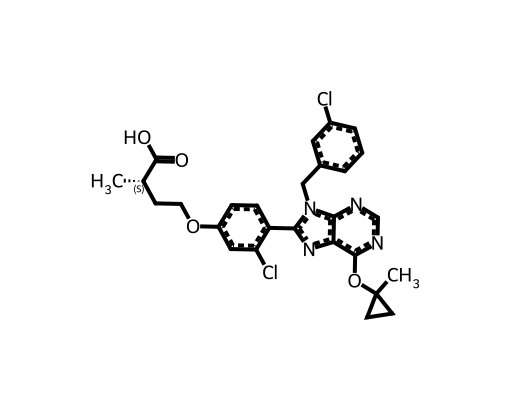 C[C@@H](CCOc1ccc(-c2nc3c(OC4(C)CC4)ncnc3n2Cc2cccc(Cl)c2)c(Cl)c1)C(=O)O